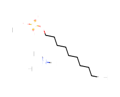 CCCCCCCCCCOS(=O)(=O)OC.CN(C)C